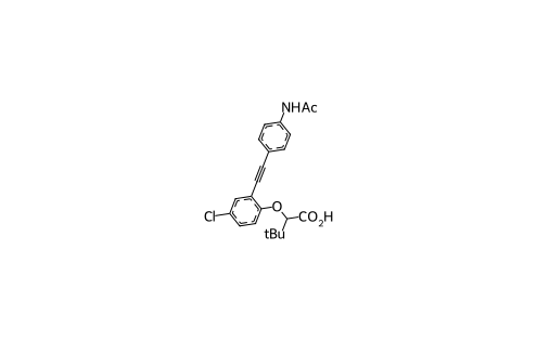 CC(=O)Nc1ccc(C#Cc2cc(Cl)ccc2OC(C(=O)O)C(C)(C)C)cc1